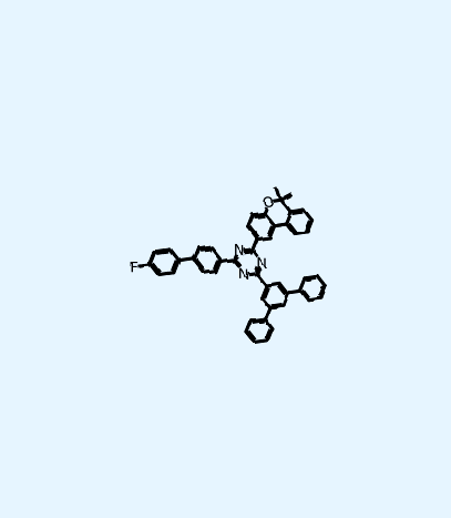 CC1(C)Oc2ccc(-c3nc(-c4ccc(-c5ccc(F)cc5)cc4)nc(-c4cc(-c5ccccc5)cc(-c5ccccc5)c4)n3)cc2-c2ccccc21